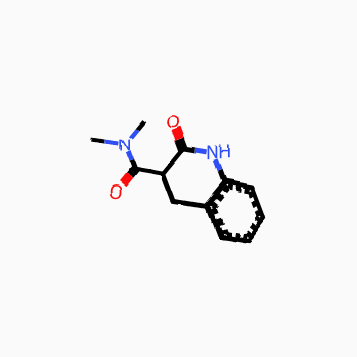 CN(C)C(=O)C1Cc2ccccc2NC1=O